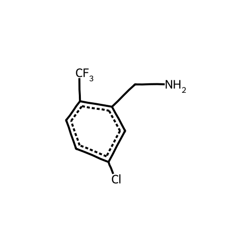 NCc1cc(Cl)ccc1C(F)(F)F